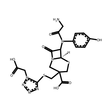 NCC(=O)N(c1ccc(O)cc1)C1C(=O)N2CC(CSc3nnnn3CC(=O)O)(C(=O)O)CS[C@H]12